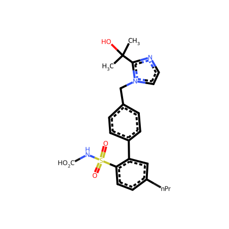 CCCc1ccc(S(=O)(=O)NC(=O)O)c(-c2ccc(Cn3ccnc3C(C)(C)O)cc2)c1